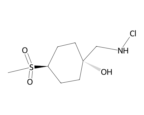 CS(=O)(=O)[C@H]1CC[C@@](O)(CNCl)CC1